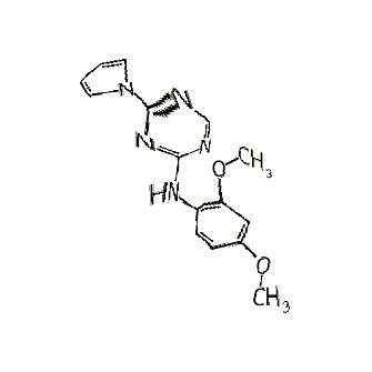 COc1ccc(Nc2ncnc(-n3cccc3)n2)c(OC)c1